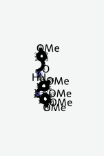 COc1ccc(C2OC2/C=C\Nc2cc(/C=C\c3cc(OC)c(OC)c(OC)c3)ccc2OC)cc1